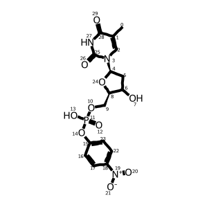 Cc1cn([C@H]2CC(O)[C@@H](COP(=O)(O)Oc3ccc([N+](=O)[O-])cc3)O2)c(=O)[nH]c1=O